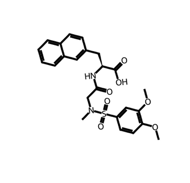 COc1ccc(S(=O)(=O)N(C)CC(=O)N[C@@H](Cc2ccc3ccccc3c2)C(=O)O)cc1OC